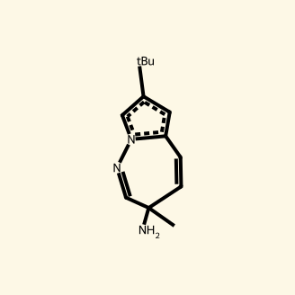 CC1(N)C=Cc2cc(C(C)(C)C)cn2N=C1